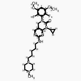 COc1cc(OC)c(F)c(N2Cc3cnc(NCCCCCN4CCN(C)CC4)nc3N(C3CC3)C2=O)c1F